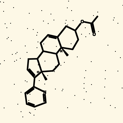 CC(=O)OC1CC[C@@]2(C)C(=CCC3C2CC[C@]2(C)C(c4ccccn4)=CCC32)C1